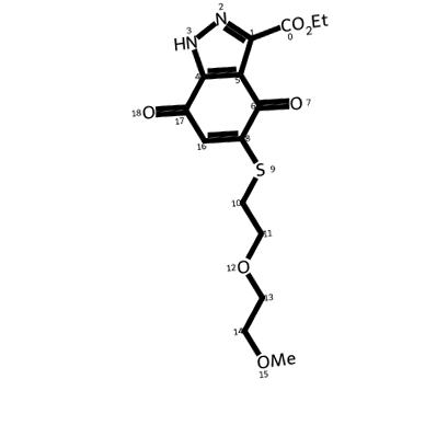 CCOC(=O)c1n[nH]c2c1C(=O)C(SCCOCCOC)=CC2=O